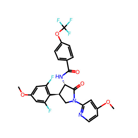 COc1ccnc(N2C[C@@H](c3c(F)cc(OC)cc3F)[C@H](NC(=O)c3ccc(OC(F)(F)F)cc3)C2=O)c1